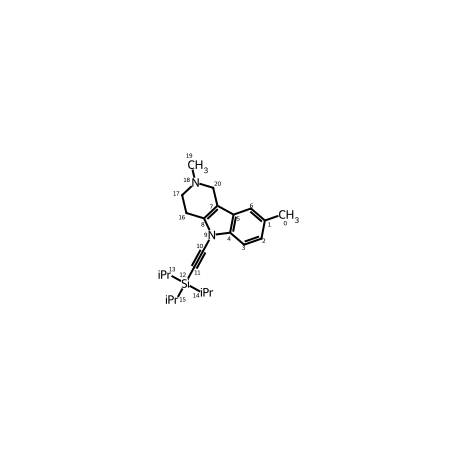 Cc1ccc2c(c1)c1c(n2C#C[Si](C(C)C)(C(C)C)C(C)C)CCN(C)C1